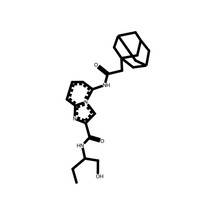 CCC(CO)NC(=O)c1cn2c(NC(=O)CC34CC5CC(CC(C5)C3)C4)cccc2n1